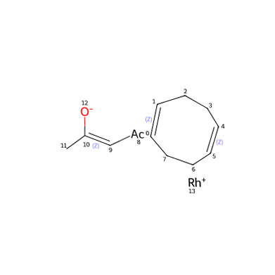 C1=C\CC/C=C\CC/1.CC(=O)/C=C(/C)[O-].[Rh+]